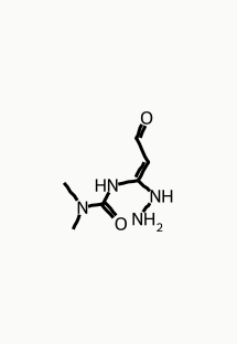 CN(C)C(=O)N/C(=C\C=O)NN